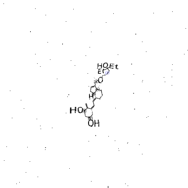 C=C1C(=CC=C2CCC[C@]3(C)C([C@H](C)OC/C=C\C(O)(CC)CC)=CC[C@@H]23)C[C@@H](O)C[C@@H]1O